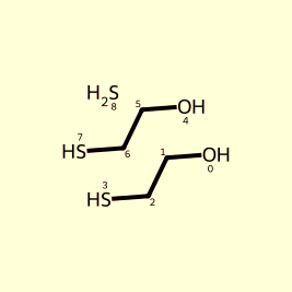 OCCS.OCCS.S